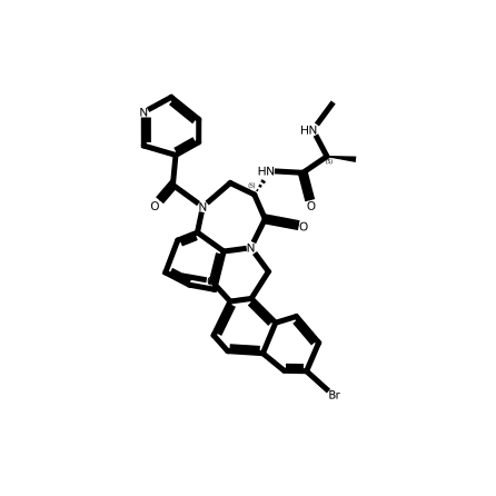 CN[C@@H](C)C(=O)N[C@H]1CN(C(=O)c2cccnc2)c2ccccc2N(Cc2c(OC)ccc3cc(Br)ccc23)C1=O